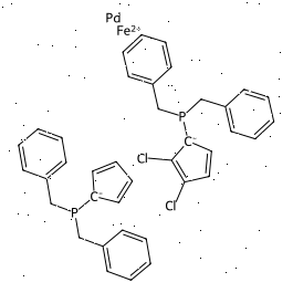 Clc1cc[c-](P(Cc2ccccc2)Cc2ccccc2)c1Cl.[Fe+2].[Pd].c1ccc(CP(Cc2ccccc2)[c-]2cccc2)cc1